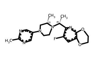 Cc1ncc(N2CCN([C@H](C)c3nc4c(cc3F)OCCO4)[C@@H](C)C2)cn1